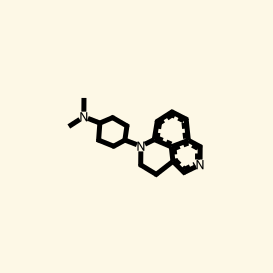 CN(C)C1CCC(N2CCc3cncc4cccc2c34)CC1